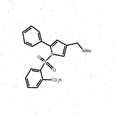 CNCc1cc(-c2ccccc2)n(S(=O)(=O)c2ccccc2C(=O)O)c1